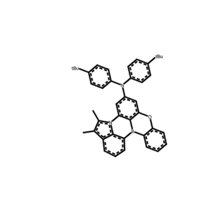 Cc1c(C)n2c3c(cccc13)B1c3ccccc3Oc3cc(N(c4ccc(C(C)(C)C)cc4)c4ccc(C(C)(C)C)cc4)cc-2c31